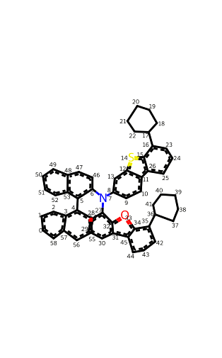 c1ccc2c(-c3c(N(c4ccc5c(c4)sc4c(C6CCCCC6)cccc45)c4cccc5c4oc4c(C6CCCCC6)cccc45)ccc4ccccc34)cccc2c1